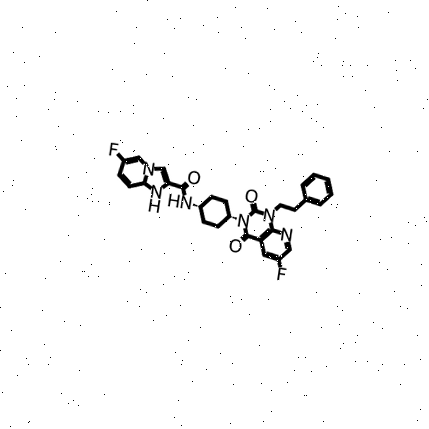 O=C(N[C@H]1CC[C@@H](n2c(=O)c3cc(F)cnc3n(CCc3ccccc3)c2=O)CC1)C1=CN2C=C(F)C=CC2N1